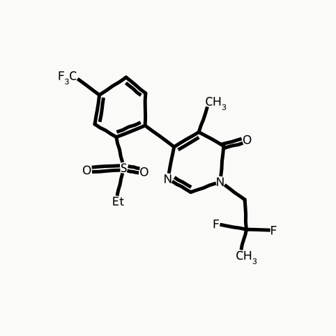 CCS(=O)(=O)c1cc(C(F)(F)F)ccc1-c1ncn(CC(C)(F)F)c(=O)c1C